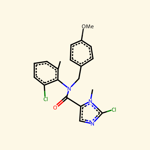 COc1ccc(CN(C(=O)c2cnc(Cl)n2C)c2c(C)cccc2Cl)cc1